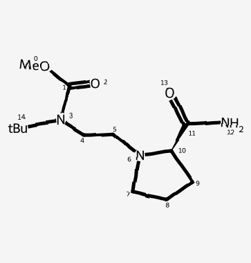 COC(=O)N(CCN1CCC[C@@H]1C(N)=O)C(C)(C)C